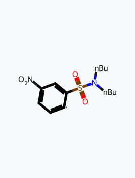 CCCCN(CCCC)S(=O)(=O)c1[c]ccc([N+](=O)[O-])c1